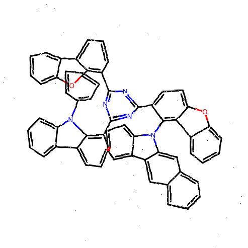 c1ccc(-n2c3ccccc3c3cccc(-c4nc(-c5ccc6oc7ccccc7c6c5-n5c6ccccc6c6cc7ccccc7cc65)nc(-c5cccc6c5oc5ccccc56)n4)c32)cc1